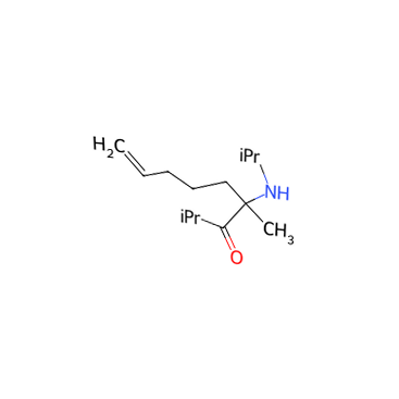 C=CCCCC(C)(NC(C)C)C(=O)C(C)C